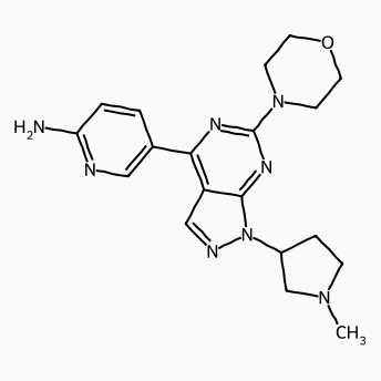 CN1CCC(n2ncc3c(-c4ccc(N)nc4)nc(N4CCOCC4)nc32)C1